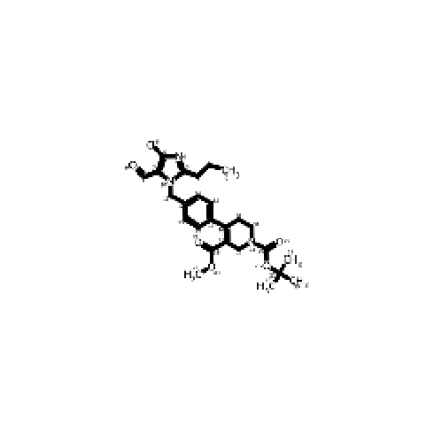 CCCc1nc(Cl)c(C=O)n1Cc1ccc(C2=C(C(=O)OC)CN(C(=O)OC(C)(C)C)CC2)cc1